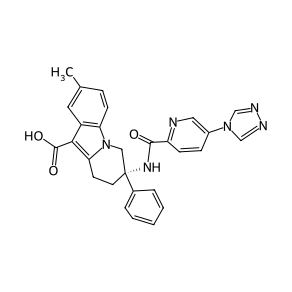 Cc1ccc2c(c1)c(C(=O)O)c1n2C[C@@](NC(=O)c2ccc(-n3cnnc3)cn2)(c2ccccc2)CC1